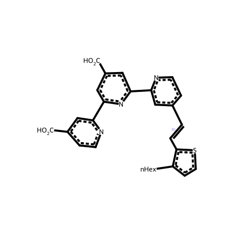 CCCCCCc1ccsc1/C=C/c1ccnc(-c2cc(C(=O)O)cc(-c3cc(C(=O)O)ccn3)n2)c1